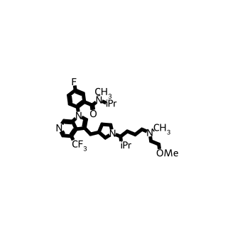 COCCN(C)CCCC(C(C)C)N1CCC(Cc2cn(-c3ccc(F)cc3C(=O)N(C)C(C)C)c3cncc(C(F)(F)F)c23)C1